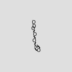 COCOOCCOCCOCCN1CCOCC1